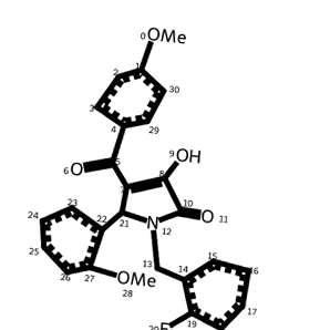 COc1ccc(C(=O)C2=C(O)C(=O)N(Cc3ccccc3F)C2c2ccccc2OC)cc1